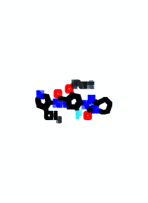 CCC[C@H](C)Oc1cc(-n2nc3n(c2=O)CCCC3)c(F)cc1C(=O)Nc1cnccc1C